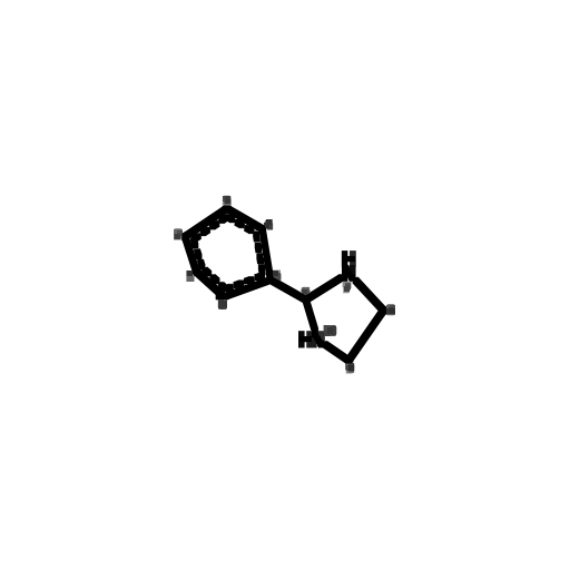 [c]1ccccc1C1NCCN1